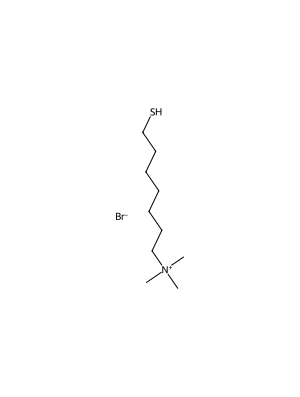 C[N+](C)(C)CCCCCCCS.[Br-]